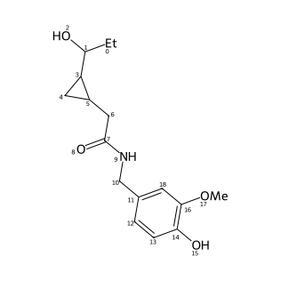 CCC(O)C1CC1CC(=O)NCc1ccc(O)c(OC)c1